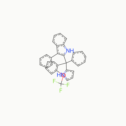 FC(F)(F)Oc1ccccc1C(c1ccccc1)(c1ccc[nH]1)c1[nH]c2ccccc2c1-c1ccccc1